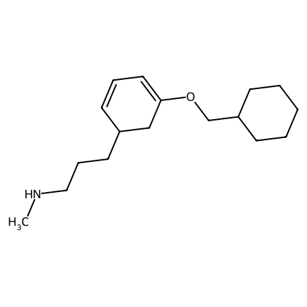 CNCCCC1C=CC=C(OCC2CCCCC2)C1